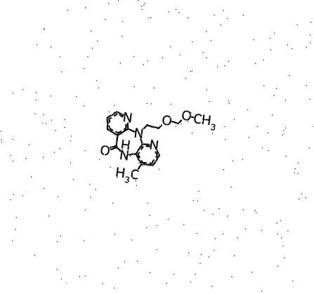 COCOCCN1c2ncccc2C(=O)Nc2c(C)ccnc21